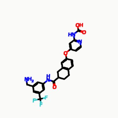 NCc1cc(NC(=O)C2CCc3ccc(Oc4ccnc(NC(=O)O)c4)cc3C2)cc(C(F)(F)F)c1